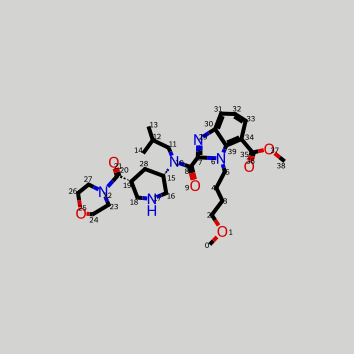 COCCCCn1c(C(=O)N(CC(C)C)[C@@H]2CNC[C@H](C(=O)N3CCOCC3)C2)nc2cccc(C(=O)OC)c21